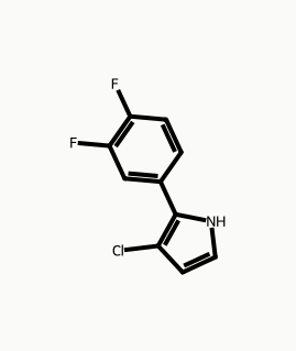 Fc1ccc(-c2[nH]ccc2Cl)cc1F